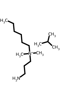 CC(C)C.CCCCCC[N+](C)(C)CCCN